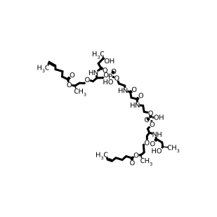 C/C=C\CCCC(=O)O[C@H](C)CCOCC(COP(=O)(O)OCCNC(=O)CC(=O)NCCOP(=O)(O)OCC(COCC[C@@H](C)OC(=O)CCC/C=C\C)NC(=O)C[C@@H](C)O)NC(=O)C[C@@H](C)O